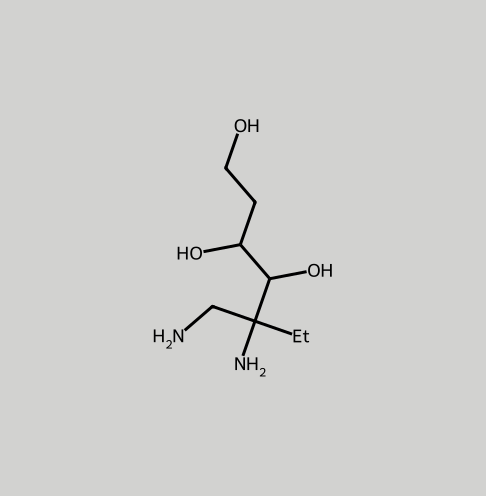 CCC(N)(CN)C(O)C(O)CCO